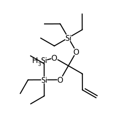 C=CCC(O[SiH3])(O[Si](CC)(CC)CC)O[Si](CC)(CC)CC